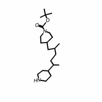 CC(CCC(C)C1CCNCC1)CC1CCN(C(=O)OC(C)(C)C)CC1